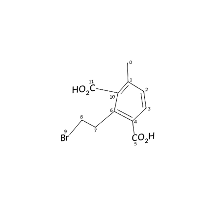 Cc1ccc(C(=O)O)c(CCBr)c1C(=O)O